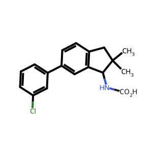 CC1(C)Cc2ccc(-c3cccc(Cl)c3)cc2C1NC(=O)O